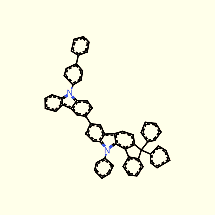 c1ccc(-c2ccc(-n3c4ccccc4c4cc(-c5ccc6c(c5)c5ccc7c(c5n6-c5ccccc5)-c5ccccc5C7(c5ccccc5)c5ccccc5)ccc43)cc2)cc1